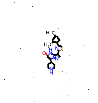 Cc1ccc(-c2csc(-c3cnn4c(C5CCNCC5)cc(=O)[nH]c34)n2)c(C)c1